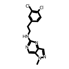 Cn1ncc2nc(NCCc3ccc(Cl)c(Cl)c3)ncc21